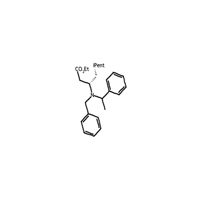 CCC[C@@H](C)C[C@@H](CC(=O)OCC)N(Cc1ccccc1)C(C)c1ccccc1